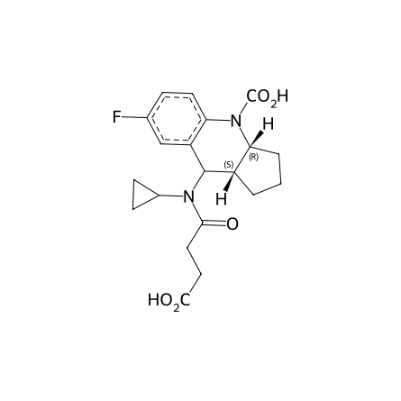 O=C(O)CCC(=O)N(C1CC1)C1c2cc(F)ccc2N(C(=O)O)[C@@H]2CCC[C@H]12